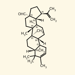 C=C(C)[C@@H]1CC[C@]2(C=O)CC[C@]3(C)[C@H](CC[C@@H]4[C@@]5(C)CC=C(C)C(C)(C)[C@@H]5CC[C@]43C)[C@@H]12